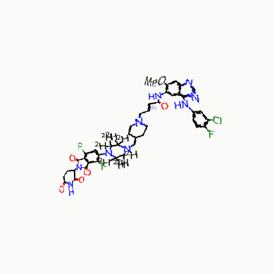 [2H]C1([2H])N(CC2CCN(C/C=C/C(=O)Nc3cc4c(Nc5ccc(F)c(Cl)c5)ncnc4cc3OC)CC2)C([2H])([2H])C([2H])([2H])N(c2cc(F)c3c(c2F)C(=O)N(C2CCC(=O)NC2=O)C3=O)C1([2H])[2H]